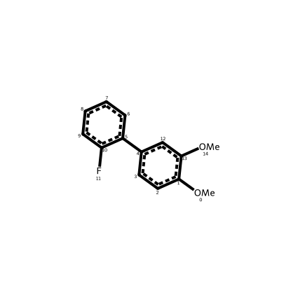 COc1ccc(-c2ccccc2F)cc1OC